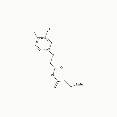 C=C(CCNC)NC(=O)COc1ccc(C)c(Cl)c1